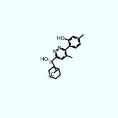 Cc1ccc(-c2nnc([C@@H](O)C3CN4CCC3CC4)cc2C)c(O)c1